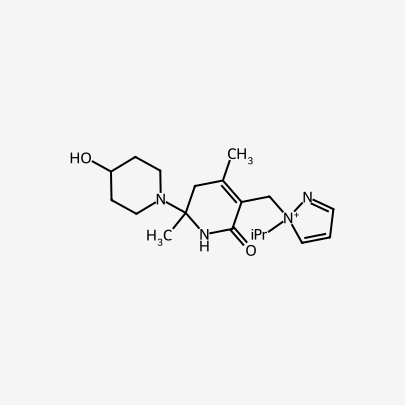 CC1=C(C[N+]2(C(C)C)C=CC=N2)C(=O)NC(C)(N2CCC(O)CC2)C1